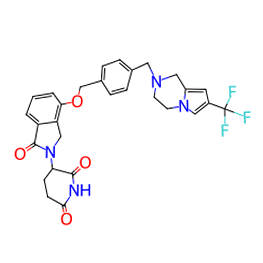 O=C1CCC(N2Cc3c(OCc4ccc(CN5CCn6cc(C(F)(F)F)cc6C5)cc4)cccc3C2=O)C(=O)N1